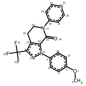 COc1ccc(-n2nc(C(F)(F)F)c3c2C(=O)N(c2ccncc2)CC3)cc1